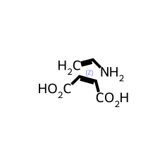 C=CN.O=C(O)/C=C\C(=O)O